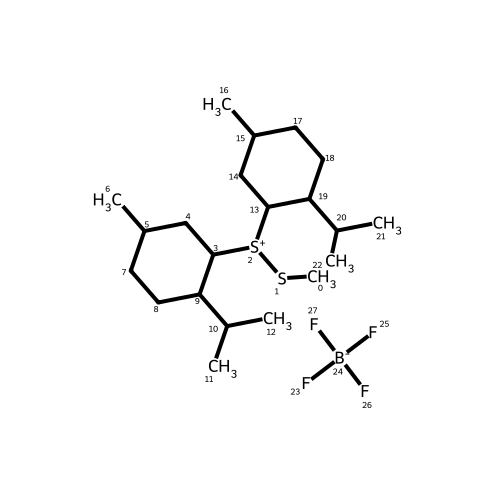 CS[S+](C1CC(C)CCC1C(C)C)C1CC(C)CCC1C(C)C.F[B-](F)(F)F